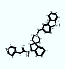 O=C(Cc1ccncc1)N[C@@H]1CC2(CCN(Cc3ccc4[nH]c5ccccc5c4c3)CC2)c2ccccc21